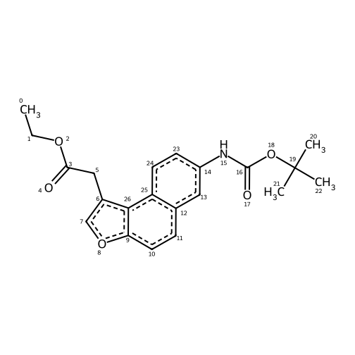 CCOC(=O)Cc1coc2ccc3cc(NC(=O)OC(C)(C)C)ccc3c12